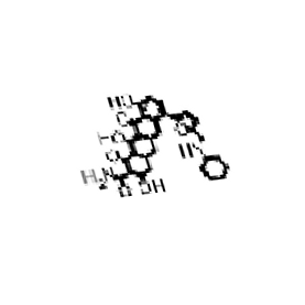 NC(=O)C1=C(O)CC2CC3Cc4c(-c5ccc(CNC6CCCCC6)o5)ccc(O)c4C(=O)C3=C(O)C2C1=O